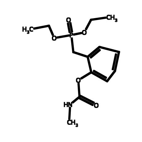 CCOP(=O)(Cc1ccccc1OC(=O)NC)OCC